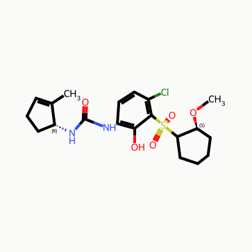 CO[C@H]1CCCCC1S(=O)(=O)c1c(Cl)ccc(NC(=O)N[C@@H]2CCC=C2C)c1O